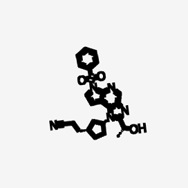 C[C@@H](O)c1nc2cnc3c(ccn3S(=O)(=O)c3ccccc3)c2n1[C@@H]1CC[C@H](CCC#N)C1